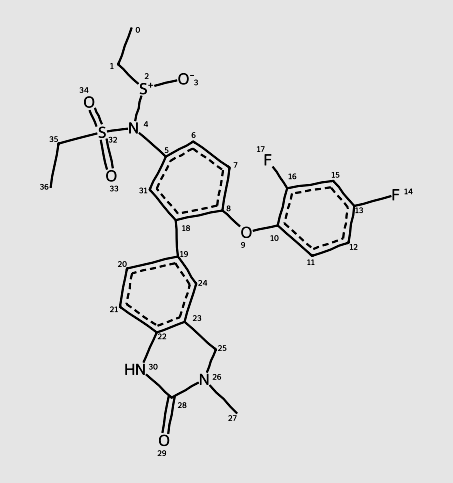 CC[S+]([O-])N(c1ccc(Oc2ccc(F)cc2F)c(-c2ccc3c(c2)CN(C)C(=O)N3)c1)S(=O)(=O)CC